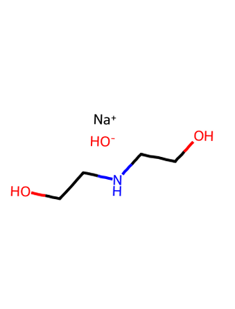 OCCNCCO.[Na+].[OH-]